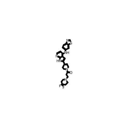 O=C(CCN1CCC(F)(F)CC1)N1CC=C(c2cc3c(Nc4ccc5ncsc5c4)ccnc3[nH]2)CC1